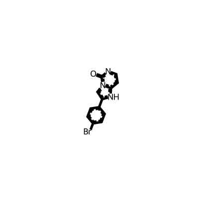 O=c1nccc2[nH]c(-c3ccc(Br)cc3)cn12